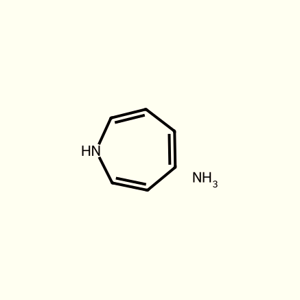 C1=CC=CNC=C1.N